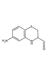 Nc1ccc2c(c1)NC(C=O)CS2